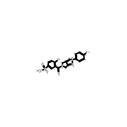 CS(=O)(=O)c1ccc(F)c(C(=O)N2Cc3cn(-c4ccc(F)cc4)nc3C2)c1